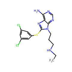 Nc1ncnc2c1nc(Sc1cc(Cl)cc(Cl)c1)n2CCCNCC(F)(F)F